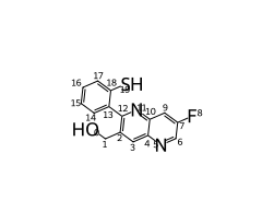 OCc1cc2ncc(F)cc2nc1-c1ccccc1S